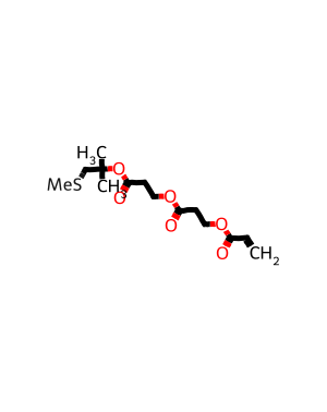 C=CC(=O)OCCC(=O)OCCC(=O)OC(C)(C)CSC